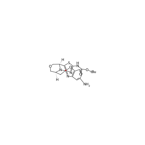 CC(C)(C)OC(=O)Nc1nc2c(s1)[C@@H]1COC[C@H](C2)N1c1nc2cc(N)ccc2o1